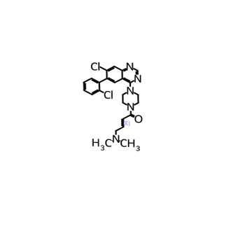 CN(C)C/C=C/C(=O)N1CCN(c2ncnc3cc(Cl)c(-c4ccccc4Cl)cc23)CC1